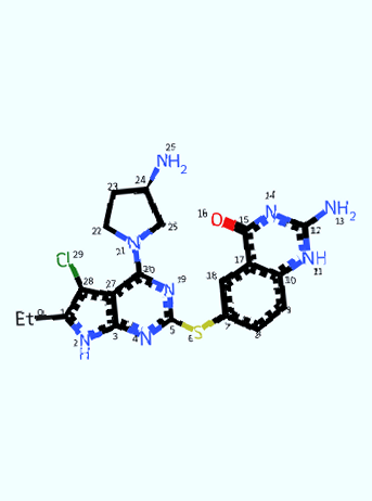 CCc1[nH]c2nc(Sc3ccc4[nH]c(N)nc(=O)c4c3)nc(N3CC[C@@H](N)C3)c2c1Cl